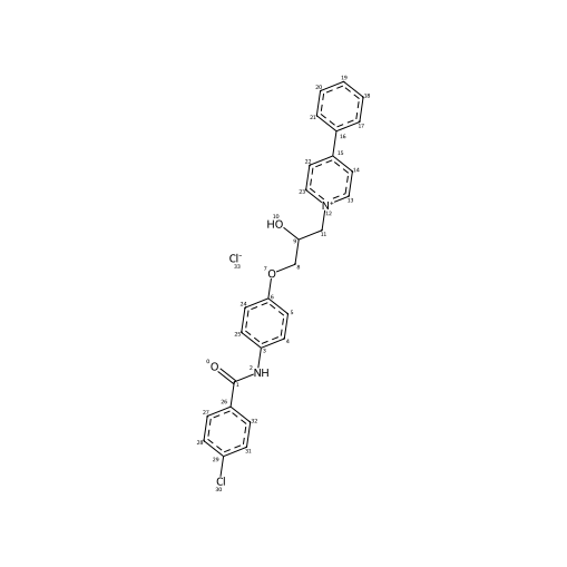 O=C(Nc1ccc(OCC(O)C[n+]2ccc(-c3ccccc3)cc2)cc1)c1ccc(Cl)cc1.[Cl-]